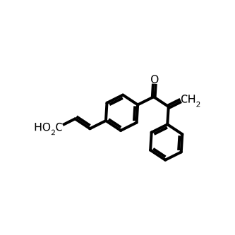 C=C(C(=O)c1ccc(/C=C/C(=O)O)cc1)c1ccccc1